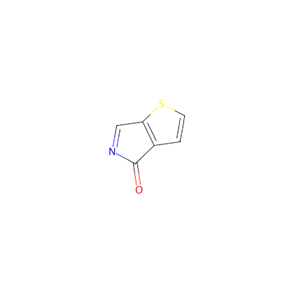 O=C1N=Cc2sccc21